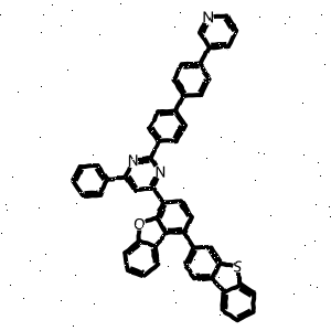 c1ccc(-c2cc(-c3ccc(-c4ccc5c(c4)sc4ccccc45)c4c3oc3ccccc34)nc(-c3ccc(-c4ccc(-c5cccnc5)cc4)cc3)n2)cc1